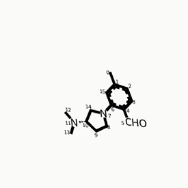 Cc1ccc(C=O)c(N2CC[C@H](N(C)C)C2)c1